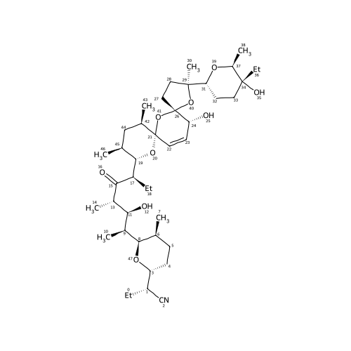 CC[C@@H](C#N)[C@H]1CC[C@H](C)[C@H]([C@@H](C)[C@H](O)[C@H](C)C(=O)[C@H](CC)[C@H]2O[C@]3(C=C[C@@H](O)[C@]4(CC[C@@](C)([C@H]5CC[C@](O)(CC)[C@H](C)O5)O4)O3)[C@H](C)C[C@@H]2C)O1